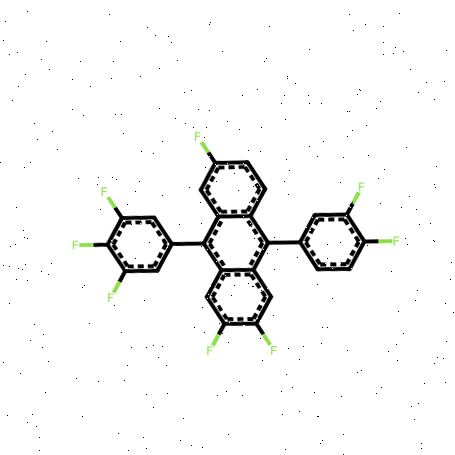 Fc1ccc2c(-c3ccc(F)c(F)c3)c3cc(F)c(F)cc3c(-c3cc(F)c(F)c(F)c3)c2c1